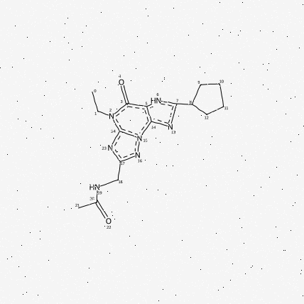 CCn1c(=O)c2[nH]c(C3CCCC3)nc2n2nc(CNC(C)=O)nc12